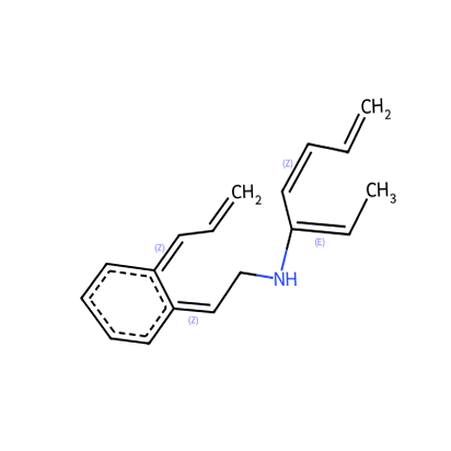 C=C/C=C\C(=C/C)NC/C=c1/cccc/c1=C/C=C